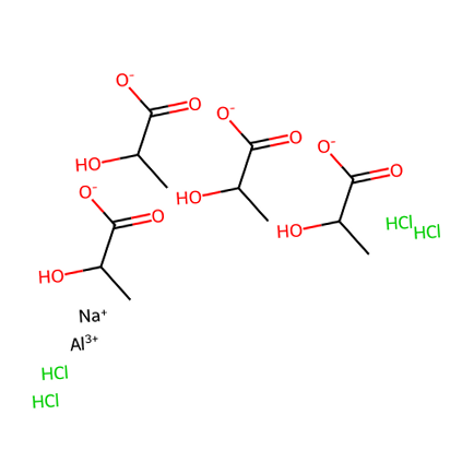 CC(O)C(=O)[O-].CC(O)C(=O)[O-].CC(O)C(=O)[O-].CC(O)C(=O)[O-].Cl.Cl.Cl.Cl.[Al+3].[Na+]